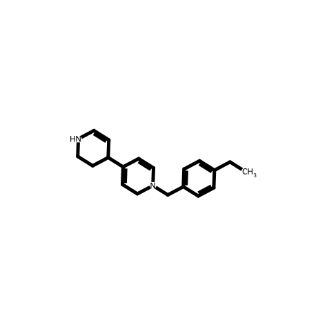 CCc1ccc(CN2C=CC(C3C=CNCC3)=CC2)cc1